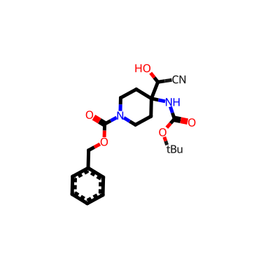 CC(C)(C)OC(=O)NC1(C(O)C#N)CCN(C(=O)OCc2ccccc2)CC1